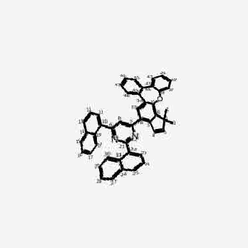 CC1(C)C=Cc2c(-c3cc(-c4cccc5ccccc45)nc(-c4cccc5ccccc45)n3)cc3c(c21)Oc1ccccc1-c1ccccc1-3